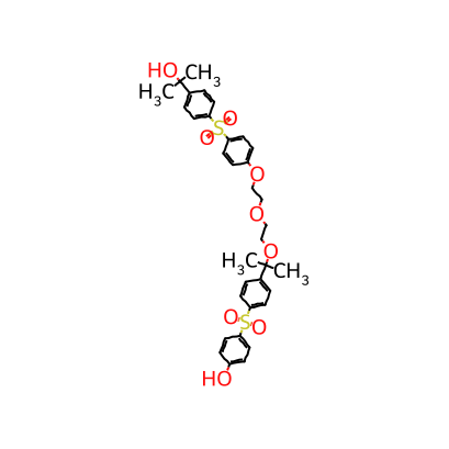 CC(C)(O)c1ccc(S(=O)(=O)c2ccc(OCCOCCOC(C)(C)c3ccc(S(=O)(=O)c4ccc(O)cc4)cc3)cc2)cc1